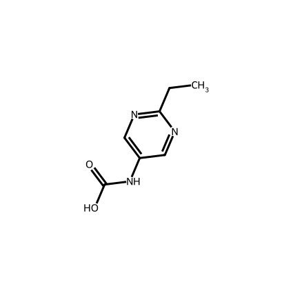 CCc1ncc(NC(=O)O)cn1